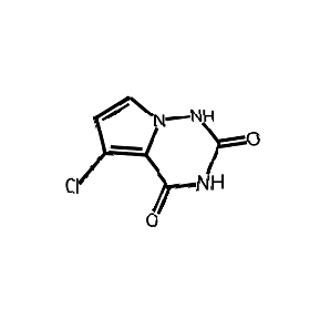 O=c1[nH]c(=O)c2c(Cl)ccn2[nH]1